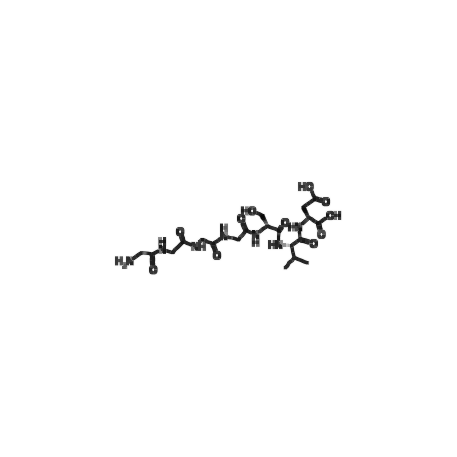 CC(C)[C@H](NC(=O)[C@H](CO)NC(=O)CNC(=O)CNC(=O)CNC(=O)CN)C(=O)N[C@@H](CC(=O)O)C(=O)O